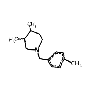 Cc1ccc(CN2CCC(C)C(C)C2)cc1